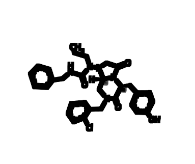 CCCN(C(=O)NCc1ccccc1)N1CC(=O)N2[C@@H](Cc3ccc(O)cc3)C(=O)N(Cc3ccccc3Cl)C[C@@H]21